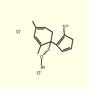 CC1=CCC(SOC(C)C)(C2=[C]([Ti+2])CC=C2)C(C)=C1.[Cl-].[Cl-]